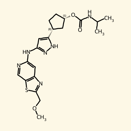 COCc1nc2cc(Nc3cc([C@@H]4CC[C@H](OC(=O)NC(C)C)C4)[nH]n3)ncc2s1